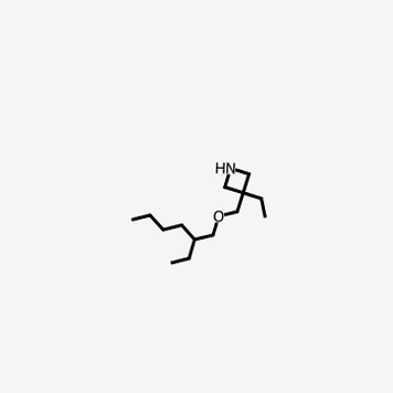 CCCCC(CC)COCC1(CC)CNC1